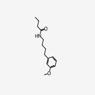 CCCC(=O)NCCCCc1cccc(OC)c1